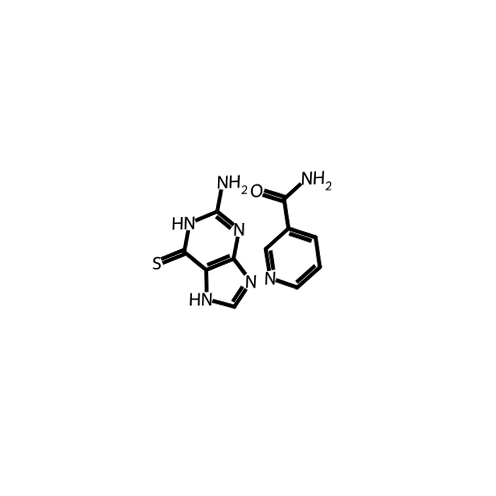 NC(=O)c1cccnc1.Nc1nc2nc[nH]c2c(=S)[nH]1